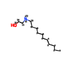 CCCCCCCCCCCN(C)CCO